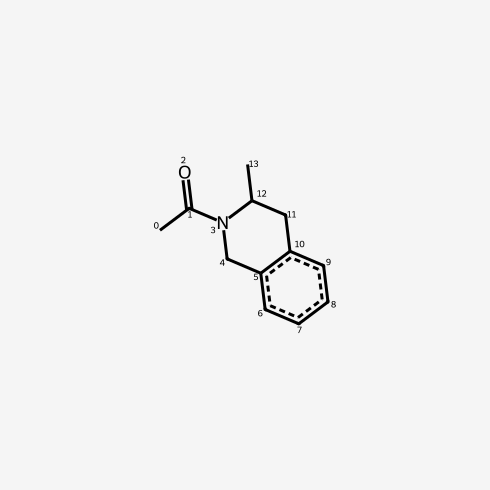 CC(=O)N1Cc2ccccc2CC1C